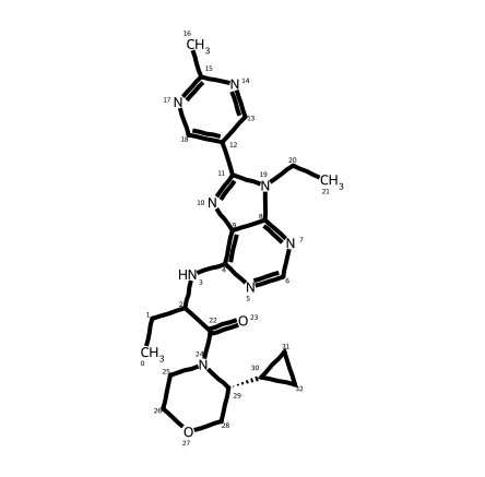 CCC(Nc1ncnc2c1nc(-c1cnc(C)nc1)n2CC)C(=O)N1CCOC[C@H]1C1CC1